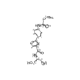 CC(C)(C)OC(=O)Nc1ccc(-c2nc(C(=O)N[C@@H](CO)C(=O)O)co2)cc1